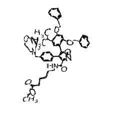 CCOC(=O)CCCCCNC(=O)c1noc(-c2cc(C(C)C)c(OCc3ccccc3)cc2OCc2ccccc2)c1-c1ccc(CN2CCOCC2)cc1